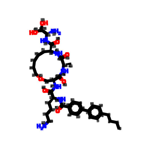 CCCCc1ccc(-c2ccc(C(=O)N[C@@H](CCCCN)C(=O)N[C@H]3COCCCCC[C@@H](C(=O)N[C@@H](N)B(O)O)NC(=O)[C@H](C)NC3=O)cc2)cc1